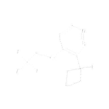 FC(F)(I)COc1ccncc1C1(F)CCC1